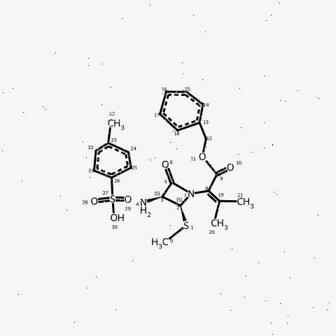 CS[C@H]1[C@@H](N)C(=O)N1C(C(=O)OCc1ccccc1)=C(C)C.Cc1ccc(S(=O)(=O)O)cc1